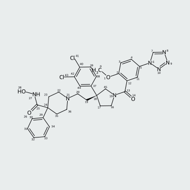 COc1ccc(-n2cnnn2)cc1C(=O)N1CC[C@](CCN2CCC(C(=O)NO)(c3ccccc3)CC2)(c2ccc(Cl)c(Cl)c2)C1